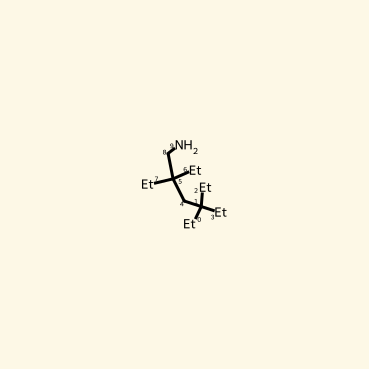 CCC(CC)(CC)CC(CC)(CC)CN